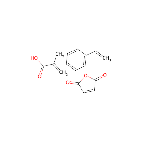 C=C(C)C(=O)O.C=Cc1ccccc1.O=C1C=CC(=O)O1